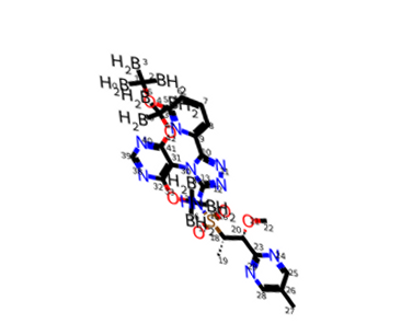 BC(B)(B)Oc1cccc(-c2nnc(NS(=O)(=O)[C@@H](C)[C@H](OC)c3ncc(C)cn3)n2-c2c(OC(B)(B)B)ncnc2OC(B)(B)B)n1